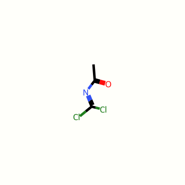 CC(=O)N=C(Cl)Cl